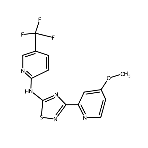 COc1ccnc(-c2nsc(Nc3ccc(C(F)(F)F)cn3)n2)c1